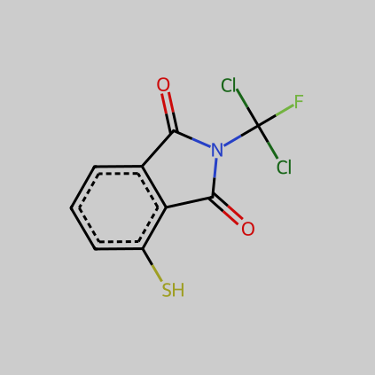 O=C1c2cccc(S)c2C(=O)N1C(F)(Cl)Cl